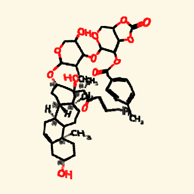 Cc1ccc(C(=O)OC2C(OC3C(O)COC(O[C@H]4C[C@H]5[C@@H]6CC=C7C[C@@H](O)CC[C@]7(C)C6CC[C@]5(C)[C@@]4(O)[C@H](C)C(=O)CCC(C)C)C3C)OCC3OC(=O)OC32)cc1